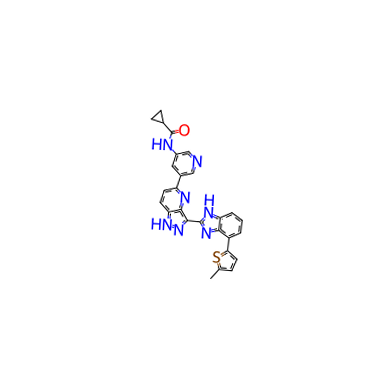 Cc1ccc(-c2cccc3[nH]c(-c4n[nH]c5ccc(-c6cncc(NC(=O)C7CC7)c6)nc45)nc23)s1